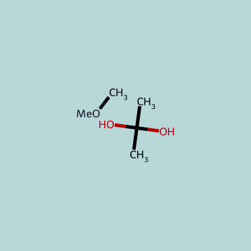 CC(C)(O)O.COC